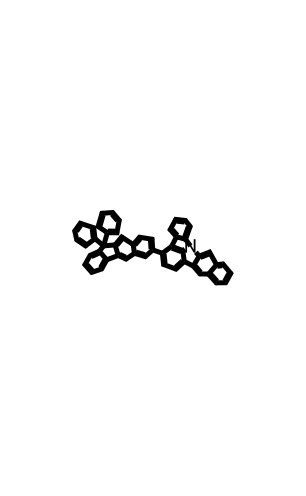 c1ccc(C2(c3ccccc3)c3ccccc3-c3cc4cc(-c5ccc6c7cc8ccccc8cc7n7c8ccccc8c5c67)ccc4cc32)cc1